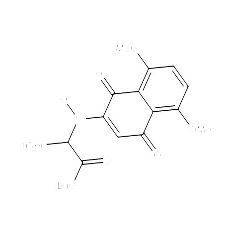 CCCCCCCCCC(C(=O)OCC(C)C)[S+]([O-])C1=CC(=O)c2c(OC)ccc(OC)c2C1=O